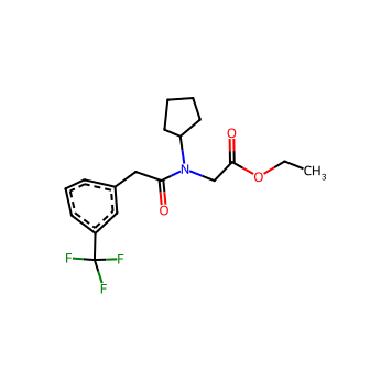 CCOC(=O)CN(C(=O)Cc1cccc(C(F)(F)F)c1)C1CCCC1